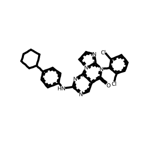 O=c1c2cnc(Nc3ccc(C4CCCCC4)cc3)nc2n2ccnc2n1-c1c(Cl)cccc1Cl